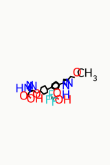 COCCc1cc(-c2ccc(C3CCC(Oc4nn[nH]c4C(=O)O)CC3)cc2)[nH]n1.O=C(O)C(F)(F)F